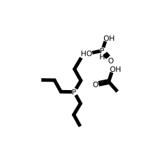 CC(=O)O.CCCP(CCC)CCC.O=[PH](O)O